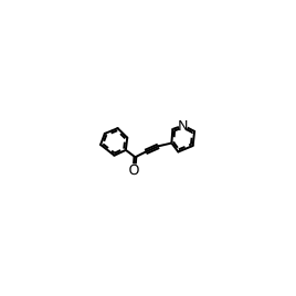 O=C(C#Cc1cccnc1)c1ccccc1